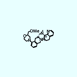 COCC1CN(c2cccc3c2C[C@H](CN(C)[C@H]2CCCc4cccnc42)NC3)CCO1